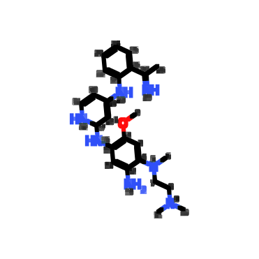 COc1cc(N(C)CCN(C)C)c(N)cc1NC1C=C(Nc2ccccc2C(C)=N)C=CN1